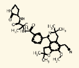 COc1c(CC#N)c2c(c3c1OC(C)(C)C3)C(c1cccc(C(=O)NC(C)(C)C(=O)NC3CCNC3=O)c1)=NC(C)(C)C2